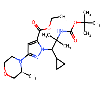 CCOC(=O)c1cc(N2CCOC[C@H]2C)nn1C(C1CC1)C(C)(C)NC(=O)OC(C)(C)C